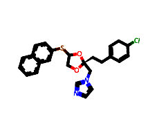 ClC1C=CC(CC[C@@]2(Cn3ccnc3)OCC(Sc3ccc4ccccc4c3)O2)=CC1